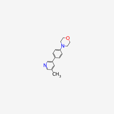 Cc1cncc(-c2ccc(N3CCOCC3)cc2)c1